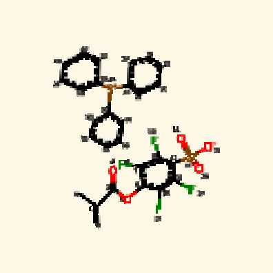 C=C(C)C(=O)Oc1c(F)c(F)c(S(=O)(=O)[O-])c(F)c1F.c1ccc([S+](c2ccccc2)c2ccccc2)cc1